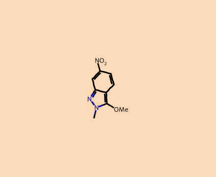 COc1c2ccc([N+](=O)[O-])cc2nn1C